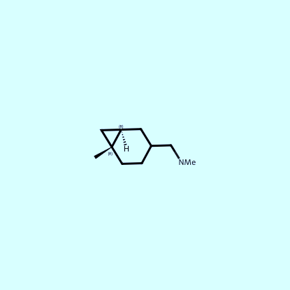 CNCC1CC[C@]2(C)C[C@H]2C1